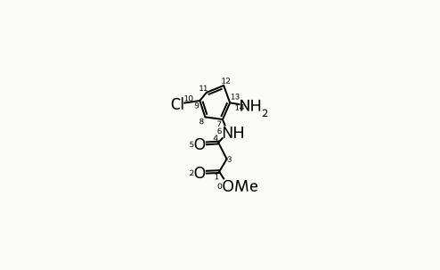 COC(=O)CC(=O)Nc1cc(Cl)ccc1N